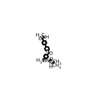 CNC(=O)c1ccc(C2CCN(C(=O)c3ccc(C)c(NC(=O)NC(C)C)c3)CC2)cc1